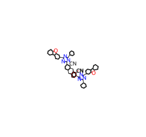 N#Cc1cccc2c1C1c3c(ccc(-c4nc(-c5ccccc5)nc(-c5ccc6c(c5)oc5ccccc56)n4)c3C#N)C2c2ccc(-c3nc(-c4ccccc4)nc(-c4ccc5c(c4)oc4ccccc45)n3)c(C#N)c21